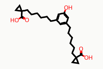 O=C(O)C1(CCCCCCc2cc(O)cc(CCCCCCC3(C(=O)O)CC3)c2)CC1